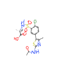 CC(=O)Nc1nc(C)c(-c2ccc(Cl)c(S(=O)(=O)N[C@@H](C)C(=O)O)c2)s1